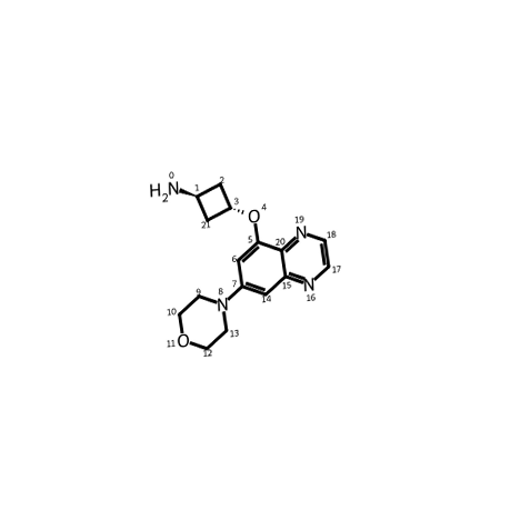 N[C@H]1C[C@H](Oc2cc(N3CCOCC3)cc3nccnc23)C1